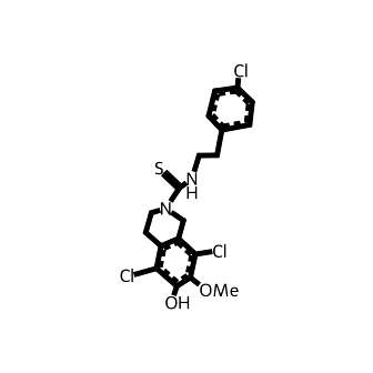 COc1c(O)c(Cl)c2c(c1Cl)CN(C(=S)NCCc1ccc(Cl)cc1)CC2